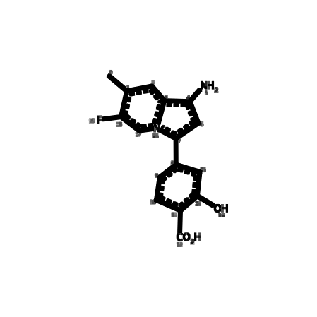 Cc1cc2c(N)cc(-c3ccc(C(=O)O)c(O)c3)n2cc1F